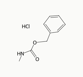 CNC(=O)OCc1ccccc1.Cl